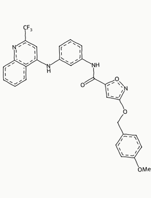 COc1ccc(COc2cc(C(=O)Nc3cccc(Nc4cc(C(F)(F)F)nc5ccccc45)c3)on2)cc1